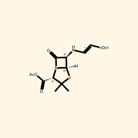 CCCCCCCC/C=C/N[C@@H]1C(=O)N2[C@@H]1SC(C)(C)[C@@H]2C(=O)OC(C)=O